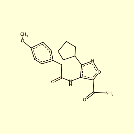 COc1ccc(CC(=O)Nc2c(C3CCCC3)noc2C(N)=O)cc1